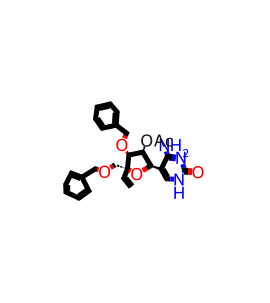 C=C[C@]1(COCc2ccccc2)O[C@H](c2c[nH]c(=O)nc2N)[C@@H](OC(C)=O)[C@@H]1OCc1ccccc1